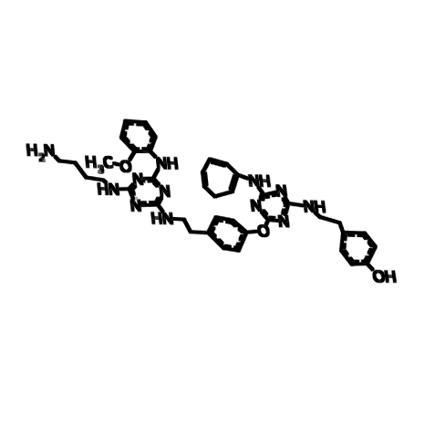 COc1ccccc1Nc1nc(NCCCCN)nc(NCCc2ccc(Oc3nc(NCCc4ccc(O)cc4)nc(NC4=CCC=CC=C4)n3)cc2)n1